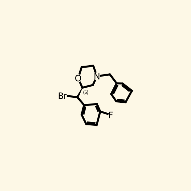 Fc1cccc(C(Br)[C@@H]2CN(Cc3ccccc3)CCO2)c1